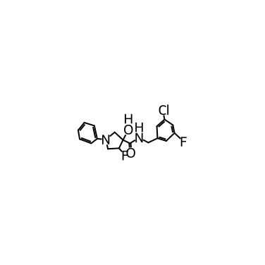 O=C(NCc1cc(F)cc(Cl)c1)C1(O)CN(c2ccccc2)CC1F